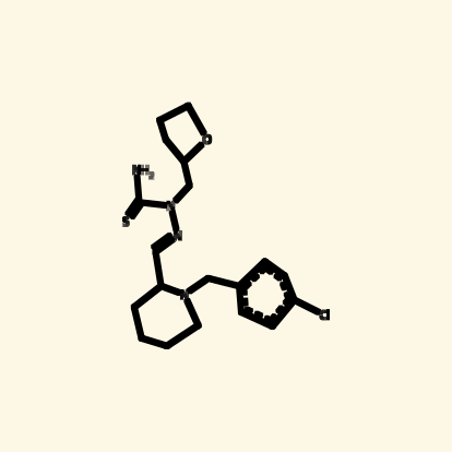 NC(=S)N(CC1CCCO1)N=CC1CCCCN1Cc1ccc(Cl)cc1